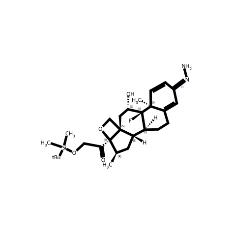 C[C@@H]1C[C@H]2[C@@H]3CCC4=C/C(=N/N)C=C[C@]4(C)[C@@]3(F)[C@@H](O)C[C@@]23CO[C@]13C(=O)CO[Si](C)(C)C(C)(C)C